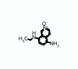 CCNc1ccc(N)c2cc[n+]([O-])cc12